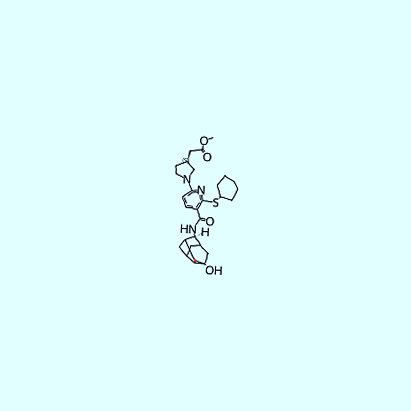 COC(=O)C[C@@H]1CCN(c2ccc(C(=O)N[C@H]3C4CC5CC3C[C@](O)(C5)C4)c(SC3CCCCC3)n2)C1